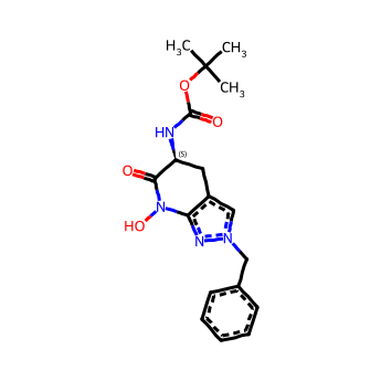 CC(C)(C)OC(=O)N[C@H]1Cc2cn(Cc3ccccc3)nc2N(O)C1=O